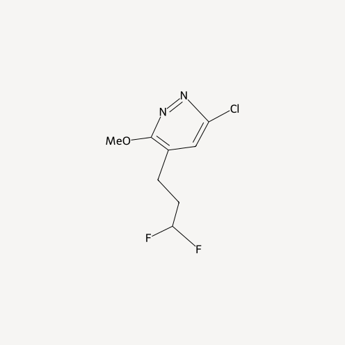 COc1nnc(Cl)cc1CCC(F)F